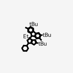 CCC1(C2c3cc(C)c(C(C)(C)C)cc3-c3cc(C(C)(C)C)c(C)cc32)CC(C2CCCCC2)C2=C1C=C(C(C)(C)C)C2